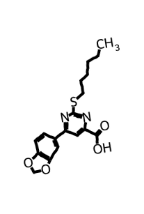 CCCCCCSc1nc(C(=O)O)cc(-c2ccc3c(c2)OCO3)n1